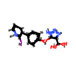 OC(O)c1nn[nH]c1Oc1ccc(-c2cccnc2I)cc1